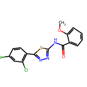 COc1ccccc1C(=O)Nc1nnc(-c2ccc(Cl)cc2Cl)s1